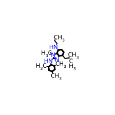 CCCNc1ccc(CC(C)C)c2nc(Nc3c(C)cc(C)cc3C)n(C)c12